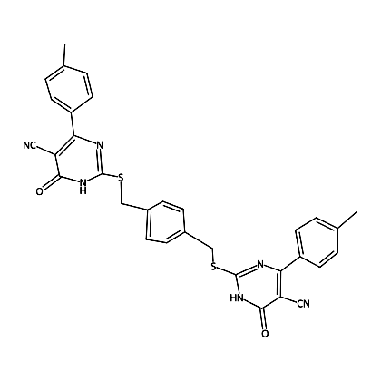 Cc1ccc(-c2nc(SCc3ccc(CSc4nc(-c5ccc(C)cc5)c(C#N)c(=O)[nH]4)cc3)[nH]c(=O)c2C#N)cc1